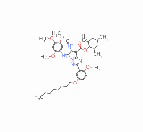 [C-]#[N+]C1=C(C(=O)OC2C(C)CC(C)CC2C)c2nc(-c3cc(OCCCCCCCC)ccc3OC)nn2/C1=N/c1cc(OC)c(OC)cc1OC